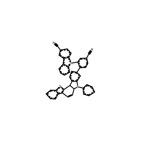 N#Cc1ccc(-c2ccc3c(c2)N(c2ccccc2)C2C=Cc4c(sc5ccccc45)C32)c(-n2c3ccccc3c3cc(C#N)ccc32)c1